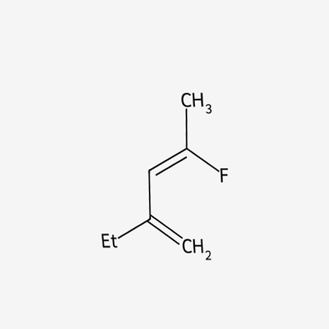 C=C(C=C(C)F)CC